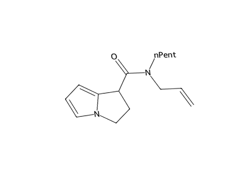 C=CCN(CCCCC)C(=O)C1CCn2cccc21